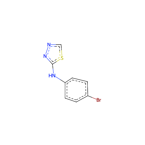 Brc1ccc(Nc2nncs2)cc1